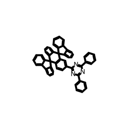 c1ccc(-c2nc(-c3ccccc3)nc(-c3ccc4c(c3)C3(c5ccccc5-c5ccccc53)c3ccccc3C43c4ccccc4-c4ccccc43)n2)cc1